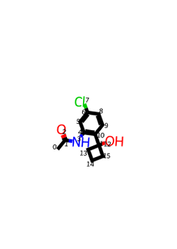 CC(=O)Nc1cc(Cl)ccc1C1(O)CCC1